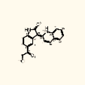 O=C1Nc2ccc(C(=O)CCl)cc2/C1=C1\C=Cc2ccccc2N1